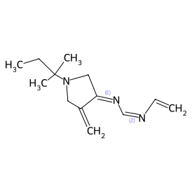 C=C/N=C\N=C1\CN(C(C)(C)CC)CC1=C